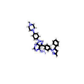 Cc1cc(-c2ccccc2)n(-c2ccc(-c3nn(C4CCC(N5CCN(C)CC5)CC4)c4ncnc(N)c34)cc2)n1